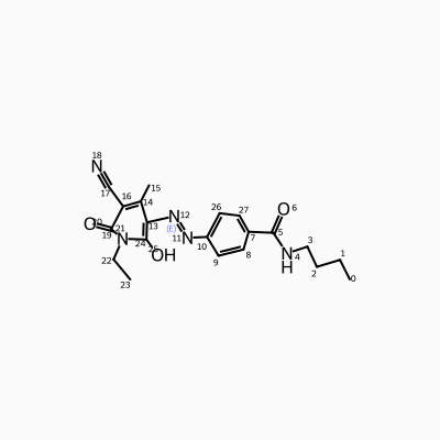 CCCCNC(=O)c1ccc(/N=N/c2c(C)c(C#N)c(=O)n(CC)c2O)cc1